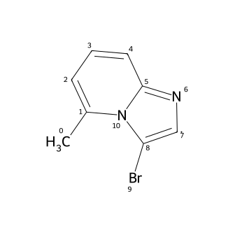 Cc1cccc2n[c]c(Br)n12